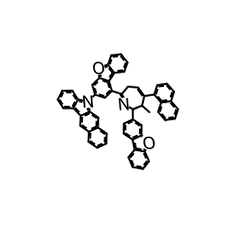 CC1C(c2cccc3ccccc23)=CCC(c2cc(-n3c4ccccc4c4cc5ccccc5cc43)cc3oc4ccccc4c23)=NC1c1ccc2c(c1)oc1ccccc12